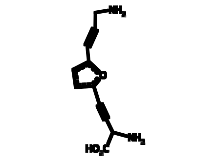 NCC#Cc1ccc(C#CC(N)C(=O)O)o1